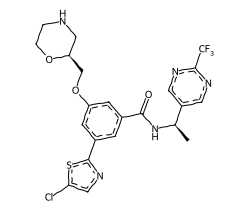 C[C@@H](NC(=O)c1cc(OC[C@@H]2CNCCO2)cc(-c2ncc(Cl)s2)c1)c1cnc(C(F)(F)F)nc1